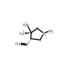 C=C[C@H]1CN(C)C[C@@]1(C)N